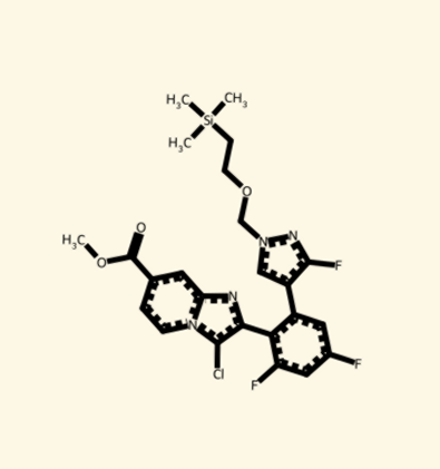 COC(=O)c1ccn2c(Cl)c(-c3c(F)cc(F)cc3-c3cn(COCC[Si](C)(C)C)nc3F)nc2c1